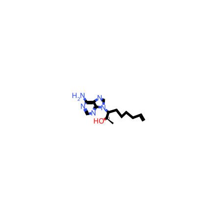 C=CCCCCC([C@@H](C)O)n1cnc2c(N)ncnc21